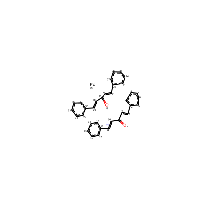 O=C(C=Cc1ccccc1)/C=C/c1ccccc1.O=C(C=Cc1ccccc1)C=Cc1ccccc1.[Pd]